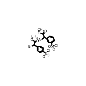 COC(=O)C(Br)c1ccc(S(=O)(=O)Cl)cc1.COC(=O)C(Br)c1cccc(S(=O)(=O)Cl)c1